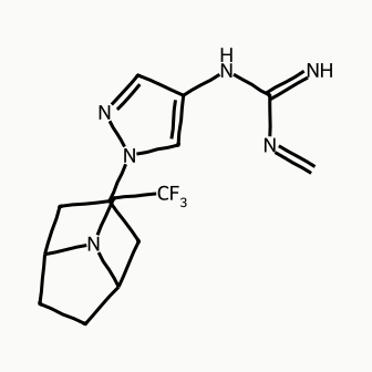 C=NC(=N)Nc1cnn(C2CC3CCC(C2)N3CC(F)(F)F)c1